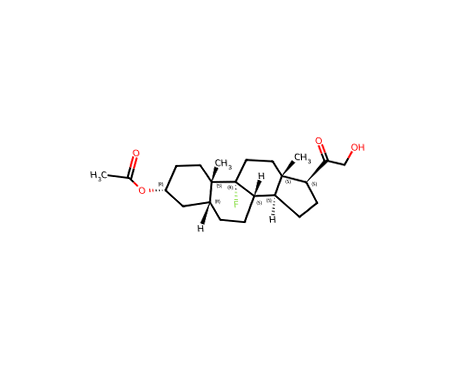 CC(=O)O[C@@H]1CC[C@@]2(C)[C@H](CC[C@H]3[C@@H]4CC[C@H](C(=O)CO)[C@@]4(C)CC[C@@]32F)C1